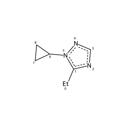 CCc1ncnn1C1CC1